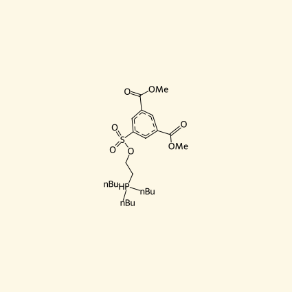 CCCC[PH](CCCC)(CCCC)CCOS(=O)(=O)c1cc(C(=O)OC)cc(C(=O)OC)c1